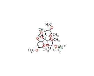 COc1cc(OC)c([Si]([O-])(c2c(OC)cc(OC)cc2OC)c2c(OC)cc(OC)cc2OC)c(OC)c1.[Cl-].[Mg+2]